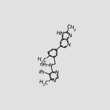 CCCN(Cc1cc(-c2cnc3nc(C)[nH]c3c2)ccc1C)c1ncnc(C)c1C(C)C